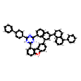 c1ccc(-c2ccc(-c3nc(-c4ccccc4)nc(-c4cccc5oc6ccc(-c7cccc(-c8cccc9c(-c%10ccccc%10)cccc89)c7)cc6c45)n3)cc2)cc1